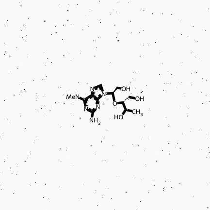 CNc1nc(N)nc2c1ncn2[C@@H](CO)O[C@H](CO)C(C)O